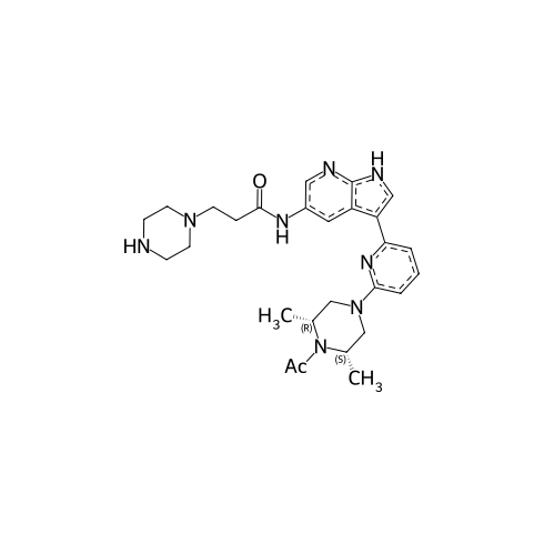 CC(=O)N1[C@H](C)CN(c2cccc(-c3c[nH]c4ncc(NC(=O)CCN5CCNCC5)cc34)n2)C[C@@H]1C